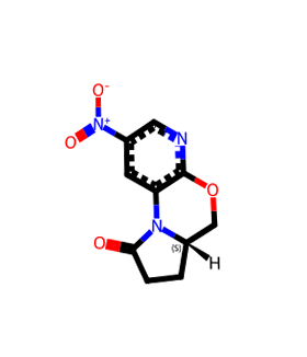 O=C1CC[C@H]2COc3ncc([N+](=O)[O-])cc3N12